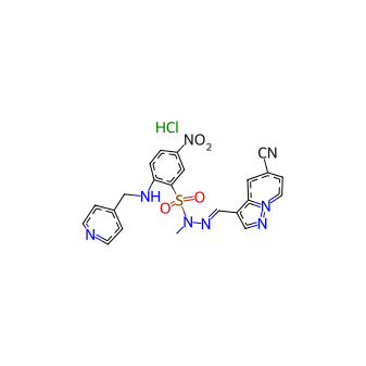 CN(N=Cc1cnn2ccc(C#N)cc12)S(=O)(=O)c1cc([N+](=O)[O-])ccc1NCc1ccncc1.Cl